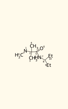 C=NC(C)(C)C(=O)NC(CC)CC